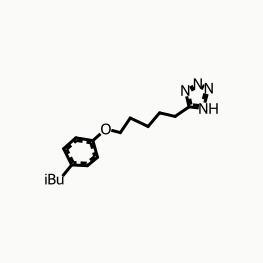 CCC(C)c1ccc(OCCCCCc2nnn[nH]2)cc1